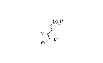 CCC(CC)C(=O)CCC(=O)O